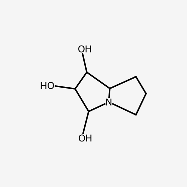 OC1C(O)C2CCCN2C1O